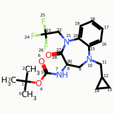 CC(C)(C)OC(=O)N[C@@H]1CN(CC2CC2)c2ccccc2N(CC(F)(F)F)C1=O